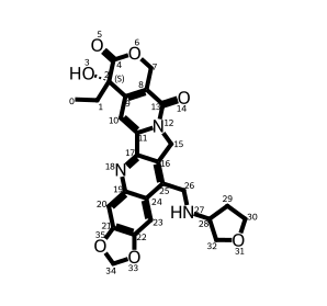 CC[C@@]1(O)C(=O)OCc2c1cc1n(c2=O)Cc2c-1nc1cc3c(cc1c2CNC1CCOC1)OCO3